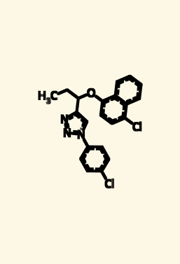 CCC(Oc1ccc(Cl)c2ccccc12)c1cn(-c2ccc(Cl)cc2)nn1